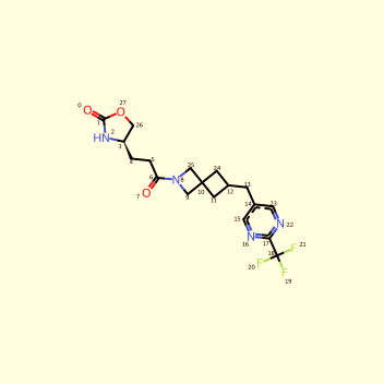 O=C1N[C@H](CCC(=O)N2CC3(CC(Cc4cnc(C(F)(F)F)nc4)C3)C2)CO1